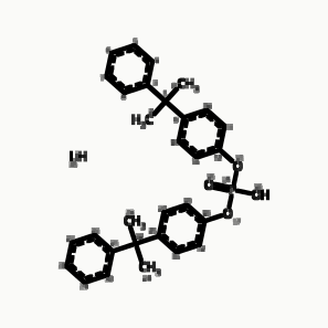 CC(C)(c1ccccc1)c1ccc(OP(=O)(O)Oc2ccc(C(C)(C)c3ccccc3)cc2)cc1.[LiH]